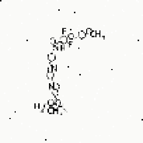 COc1ccc(COc2c(F)cc(C(=O)NC[C@H]3CC[C@H](n4cc5ccc(-c6ccc7c(n6)CN(C(=O)OC(C)(C)C)C7)cc5n4)CC3)c(F)c2F)cc1